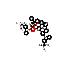 CC(C)(C)c1ccc2c(c1)c1ccccc1n2-c1ccc(-c2nc(-c3ccc(-n4c5ccccc5c5cc(C(C)(C)C)ccc54)cc3)c(-n3c4ccccc4c4cnccc43)c(-c3ccccc3-c3nc(-c4ccccc4)nc(-c4ccccc4)n3)c2-n2c3ccccc3c3cnccc32)cc1